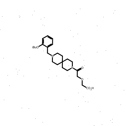 CC(C)COc1ccccc1CN1CCC2(CC1)CCN(C(=O)COCC(=O)O)CC2